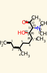 C=CC=C(C)CC[C@@H](C)[C@@H](O)[C@@H](C(C)=O)N(C)C